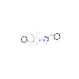 Cc1cccc(Cc2cnn(C(=O)N[C@H]3COc4ccccc4N(C)C3=O)c2)c1